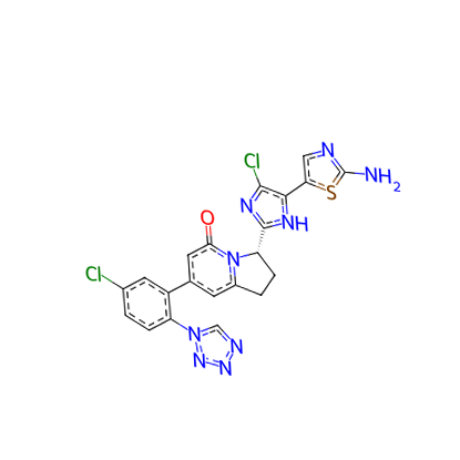 Nc1ncc(-c2[nH]c([C@@H]3CCc4cc(-c5cc(Cl)ccc5-n5cnnn5)cc(=O)n43)nc2Cl)s1